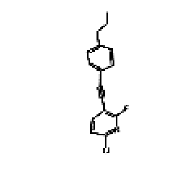 CCCc1ccc(C#Cc2ccc(Cl)nc2F)cc1